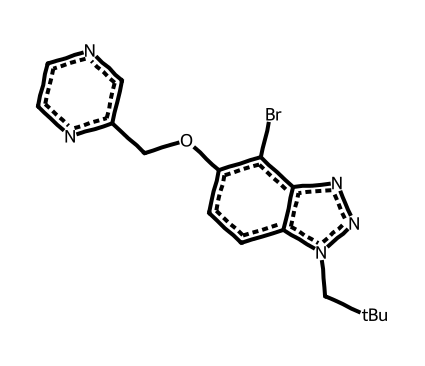 CC(C)(C)Cn1nnc2c(Br)c(OCc3cnccn3)ccc21